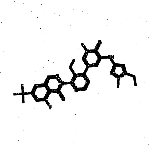 CCc1c(-c2cc(Nc3cc(CC)n(C)n3)c(=O)n(C)c2)ccnc1-n1ncc2cc(C(C)(C)C)cc(F)c2c1=O